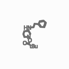 CC(C)(C)C(=O)ON1CCC[C@H](NCCc2ccccc2)C1